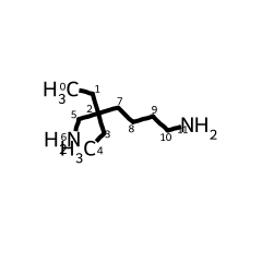 CCC(CC)(CN)CCCCN